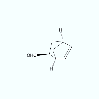 O=C[C@H]1C[C@H]2C=C[C@@H]1C2